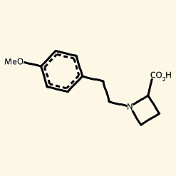 COc1ccc(CCN2CCC2C(=O)O)cc1